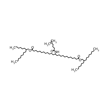 CCCCCCCCC(CCCCCC)COC(=O)CCCCCCCCCCCC(CCCCCCCCCCCC(=O)OCC(CCCCCC)CCCCCCCC)NC(=O)CCCN(C)C